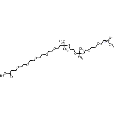 C/[N+]([O-])=C\COCCOCCC(C)(C)OCCOC(C)(C)CCOCCOCCOCCOCCOCCC(=O)OC(C)(C)C